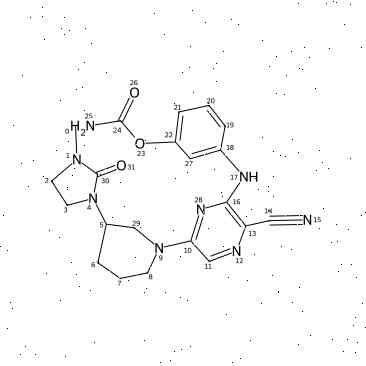 CN1CCN(C2CCCN(c3cnc(C#N)c(Nc4cccc(OC(N)=O)c4)n3)C2)C1=O